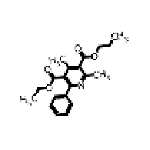 CCCOC(=O)c1c(C)nc(-c2ccccc2)c(C(=O)OCC)c1C